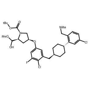 CNCc1ccc(Cl)cc1[C@H]1CC[C@H](Cc2cc(O[C@H]3C[C@@H](C(O)OC)N(C(=O)OC(C)(C)C)C3)cc(F)c2Cl)CC1